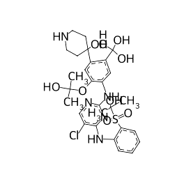 CC(C)(O)Oc1cc(C2(O)CCNCC2)c(C(O)(O)O)cc1Nc1ncc(Cl)c(Nc2ccccc2S(=O)(=O)C(C)(C)O)n1